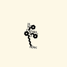 CCCCCCCCCCCCCCCCCc1cccc(OC(=O)C(N)c2ccccc2)c1OC(=O)C(N)c1ccccc1